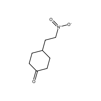 O=C1CCC(CC[N+](=O)[O-])CC1